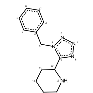 c1ccc(Cn2nnnc2C2CCCCN2)cc1